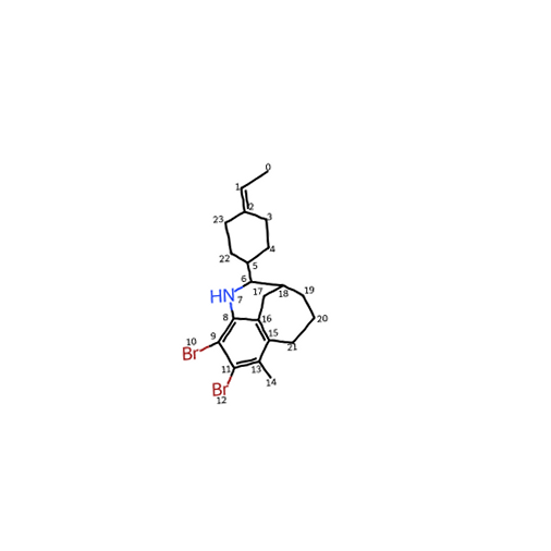 CC=C1CCC(C2Nc3c(Br)c(Br)c(C)c4c3CC2CCC4)CC1